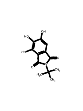 CC(C)(C)N1C(=O)c2cc(O)c(O)c(O)c2C1=O